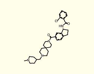 CN1CCC(CN2CCC3(CC2)CCN(C(=O)c2ccc4c(c2)[C@H](NC(=O)c2ccccc2Cl)CC4)CC3)CC1